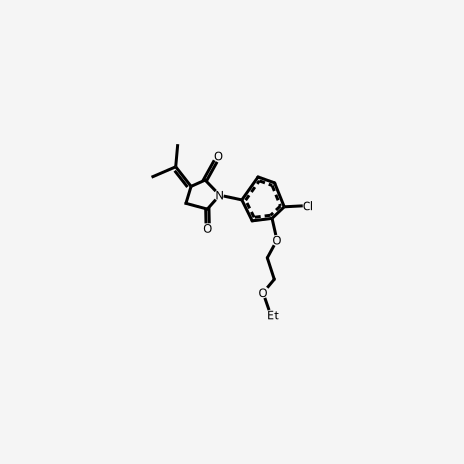 CCOCCOc1cc(N2C(=O)CC(=C(C)C)C2=O)ccc1Cl